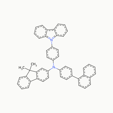 CC1(C)c2ccccc2-c2ccc(N(c3ccc(-c4cccc5ccccc45)cc3)c3ccc(-n4c5ccccc5c5ccccc54)cc3)cc21